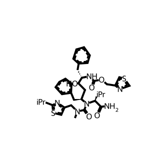 CC(C)c1nc(CN(C)C(=O)N([C@@H](Cc2ccccc2)C[C@H](O)[C@H](Cc2ccccc2)NC(=O)OCc2cscn2)[C@H](C(N)=O)C(C)C)cs1